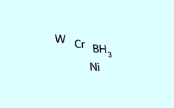 B.[Cr].[Ni].[W]